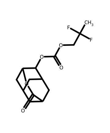 CC(F)(F)COC(=O)OC1C2CC3CC(C2)C(=O)OC1C3